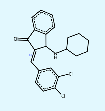 O=C1/C(=C/c2ccc(Cl)c(Cl)c2)C(NC2CCCCC2)c2ccccc21